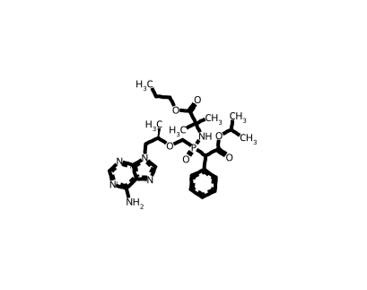 CCCOC(=O)C(C)(C)NP(=O)(CO[C@H](C)Cn1cnc2c(N)ncnc21)C(C(=O)OC(C)C)c1ccccc1